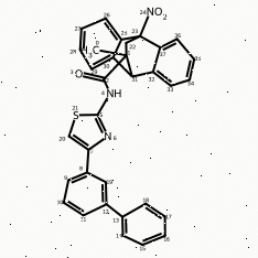 CC1(C(=O)Nc2nc(-c3cccc(-c4ccccc4)c3)cs2)CC2([N+](=O)[O-])c3ccccc3C1c1ccccc12